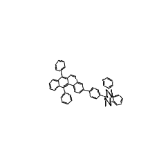 c1ccc(-c2c3ccccc3c(-c3ccccc3)c3c2ccc2cc(-c4ccc(-c5nc6ccccc6n5-c5ccccc5)cc4)ccc23)cc1